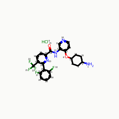 Cl.NC1CCC(Oc2ccncc2NC(=O)c2ccc(C(F)(F)F)c(-c3c(F)cccc3F)n2)CC1